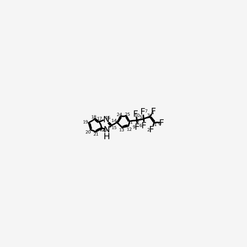 FC(F)=C(F)C(F)(F)C(F)(F)c1ccc(-c2nc3ccccc3[nH]2)cc1